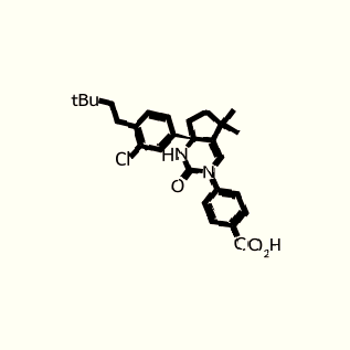 CC(C)(C)CCc1ccc([C@@]23CCC(C)(C)C2=CN(c2ccc(C(=O)O)cc2)C(=O)N3)cc1Cl